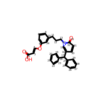 O=C(O)C=COc1cccc(CCCn2cc(C(c3ccccc3)c3ccccc3)ccc2=O)c1